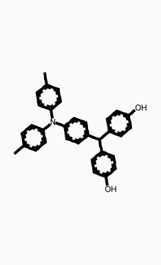 Cc1ccc(N(c2ccc(C)cc2)c2ccc(C(c3ccc(O)cc3)c3ccc(O)cc3)cc2)cc1